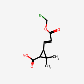 CC1(C)C(/C=C/C(=O)OCBr)C1C(=O)O